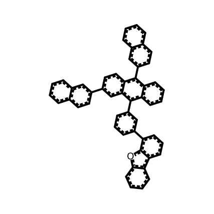 c1cc(-c2c3ccccc3c(-c3ccc4ccccc4c3)c3ccc(-c4ccc5ccccc5c4)cc23)cc(-c2cccc3c2oc2ccccc23)c1